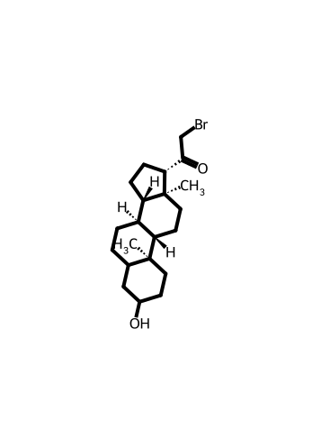 C[C@]12CC[C@H]3[C@@H](CCC4CC(O)CC[C@@]43C)[C@@H]1CC[C@@H]2C(=O)CBr